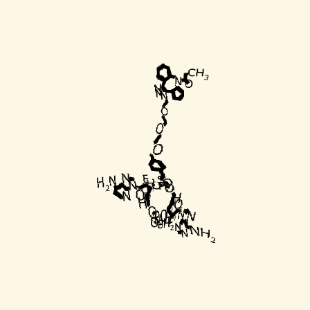 B[P@]1(=O)OC[C@H]2O[C@@H](n3cnc4c(N)ccnc43)[C@H](F)[C@@H]2O[P@](=O)(SCc2ccc(COCCOCCOCCn3nnc4c3-c3ccccc3N(C(=O)CC)Cc3ccccc3-4)cc2)OC[C@H]2O[C@@H](n3cnc4c(N)ncnc43)[C@H](F)[C@@H]2O1